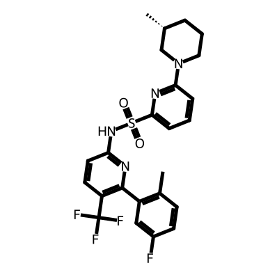 Cc1ccc(F)cc1-c1nc(NS(=O)(=O)c2cccc(N3CCC[C@@H](C)C3)n2)ccc1C(F)(F)F